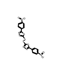 O=[N+]([O-])c1ccc(-c2nnc(SSc3nnc(-c4ccc([N+](=O)[O-])cc4)o3)o2)cc1